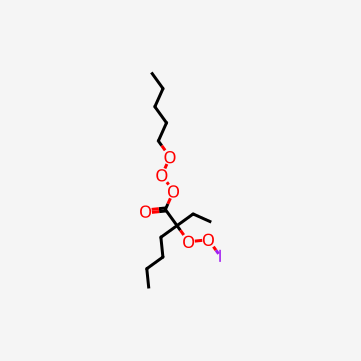 CCCCCOOOC(=O)C(CC)(CCCC)OOI